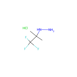 CC(C)(NN)C(F)(F)F.Cl